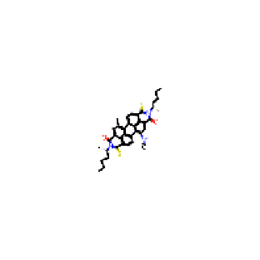 [C-]#[N+]c1cc2c3c(ccc4c5c(C)cc6c7c(ccc(c1c34)c75)C(=S)N([C@@H](C)CCCC)C6=O)C(=S)N([C@@H](C)CCCC)C2=O